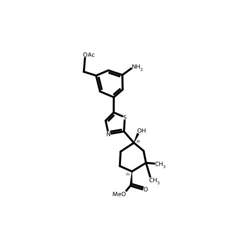 COC(=O)[C@H]1CC[C@](O)(c2ncc(-c3cc(N)cc(COC(C)=O)c3)s2)CC1(C)C